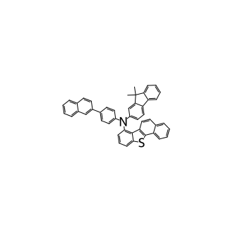 CC1(C)c2ccccc2-c2ccc(N(c3ccc(-c4ccc5ccccc5c4)cc3)c3cccc4sc5c6ccccc6ccc5c34)cc21